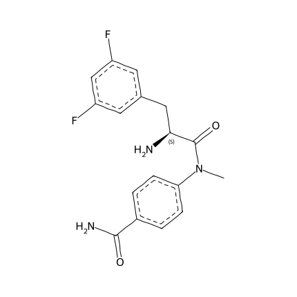 CN(C(=O)[C@@H](N)Cc1cc(F)cc(F)c1)c1ccc(C(N)=O)cc1